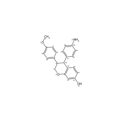 COc1ccc(C2COc3cc(O)ccc3C2c2ccc(N)cc2)cc1